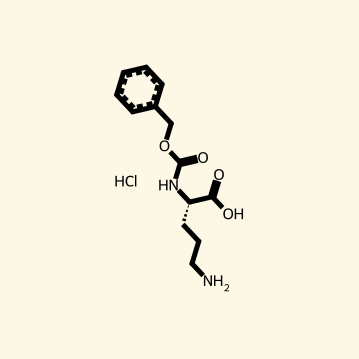 Cl.NCCC[C@H](NC(=O)OCc1ccccc1)C(=O)O